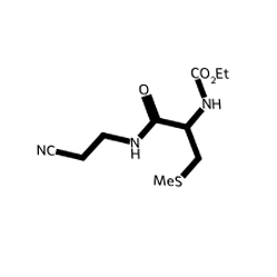 CCOC(=O)NC(CSC)C(=O)NCCC#N